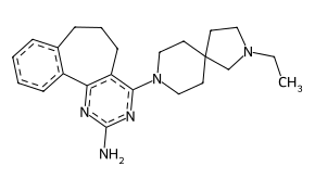 CCN1CCC2(CCN(c3nc(N)nc4c3CCCc3ccccc3-4)CC2)C1